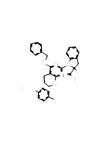 CC1(C(N)=O)Cc2ccccc2N1c1nc2c(c(NCc3ccccc3)n1)CCCN2.Cc1ccc(S(=O)(=O)O)cc1